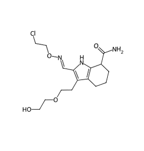 NC(=O)C1CCCc2c1[nH]c(/C=N/OCCCl)c2CCOCCO